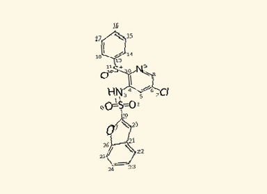 O=S(=O)(Nc1cc(Cl)cnc1[S+]([O-])c1ccccc1)c1cc2ccccc2o1